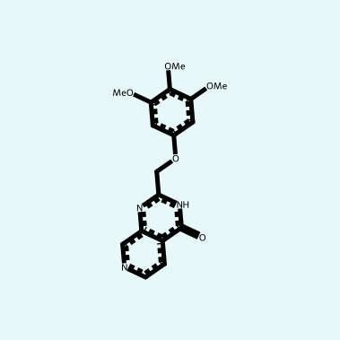 COc1cc(OCc2nc3cnccc3c(=O)[nH]2)cc(OC)c1OC